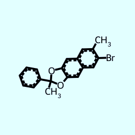 Cc1cc2cc3c(cc2cc1Br)OC(C)(c1ccccc1)O3